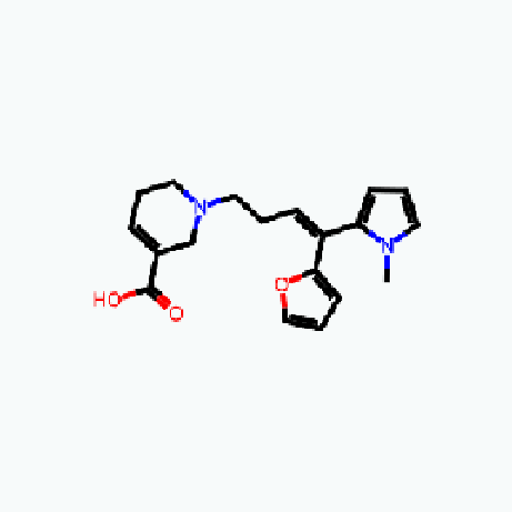 Cn1cccc1C(=CCCN1CCC=C(C(=O)O)C1)c1ccco1